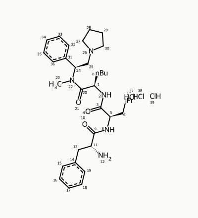 CCCC[C@@H](NC(=O)[C@@H](CC(C)C)NC(=O)[C@H](N)Cc1ccccc1)C(=O)N(C)[C@H](CN1CCCC1)c1ccccc1.Cl.Cl.Cl